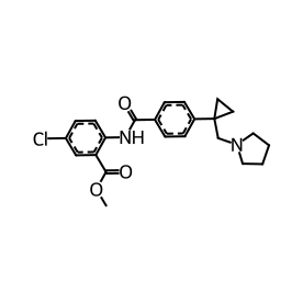 COC(=O)c1cc(Cl)ccc1NC(=O)c1ccc(C2(CN3CCCC3)CC2)cc1